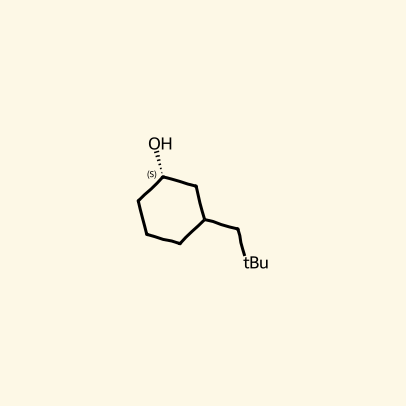 CC(C)(C)CC1CCC[C@H](O)C1